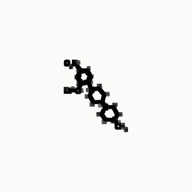 CCOc1cc([N+](=O)[O-])ccc1N1CCC(N2CCN(C)CC2)CC1